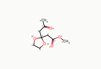 COC(=O)CC1(CC(C)=O)OCCO1